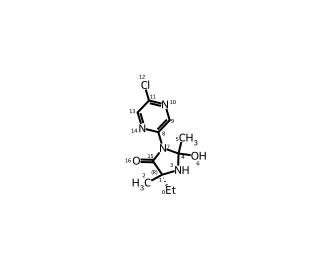 CC[C@@]1(C)NC(C)(O)N(c2cnc(Cl)cn2)C1=O